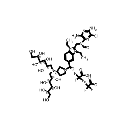 CCn1c(CN(C=O)c2nc(Cl)c(N)nc2N)[n+](CC)c2ccc(C(=O)N3CC[C@@H](N(C[C@H](O)[C@@H](O)[C@H](O)[C@H](O)CO)C[C@H](O)[C@@H](O)[C@H](O)[C@H](O)CO)C3)cc21.O=C(O)C(F)(F)F.O=C([O-])C(F)(F)F